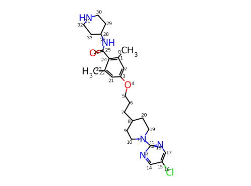 Cc1cc(OCCCC2CCN(c3ncc(Cl)cn3)CC2)cc(C)c1C(=O)NC1CCNCC1